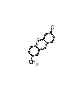 Cc1ccc2sc3cc(=O)ccc-3cc2c1